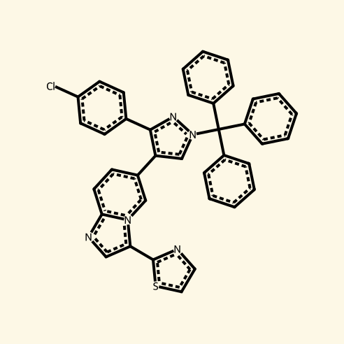 Clc1ccc(-c2nn(C(c3ccccc3)(c3ccccc3)c3ccccc3)cc2-c2ccc3ncc(-c4nccs4)n3c2)cc1